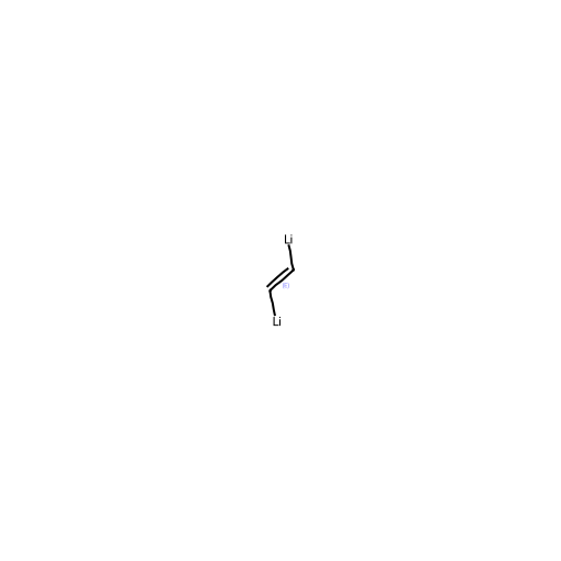 [Li]/[CH]=[CH]/[Li]